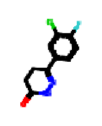 O=C1CCC(c2ccc(F)c(Cl)c2)=NN1